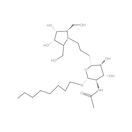 CCCCCCCCO[C@@H]1O[C@H](CCCN2C(CO)[C@H](O)[C@H](O)[C@H]2CO)[C@@H](O)[C@H](O)[C@H]1NC(C)=O